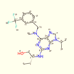 CC[C@H](CO)Nc1nc(N(C)Cc2cccc(C(F)(F)F)c2)c2ncn(C(C)C)c2n1